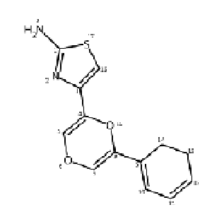 Nc1nc(C2=COC=C(C3=CC=CCC3)O2)cs1